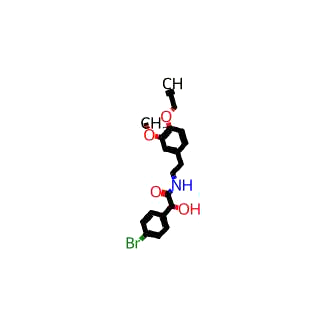 C#CCOc1ccc(CCNC(=O)C(O)c2ccc(Br)cc2)cc1OC